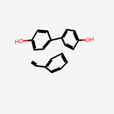 C=Cc1ccccc1.Oc1ccc(-c2ccc(O)cc2)cc1